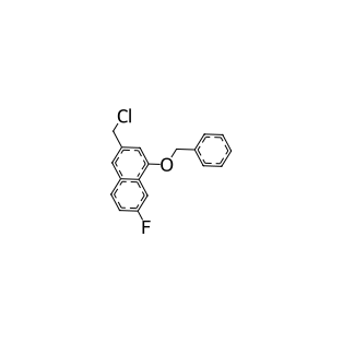 Fc1ccc2cc(CCl)cc(OCc3ccccc3)c2c1